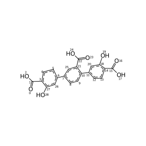 O=C(O)c1ccc(-c2ccc(-c3ccc(C(=O)O)c(O)c3)c(C(=O)O)c2)cc1O